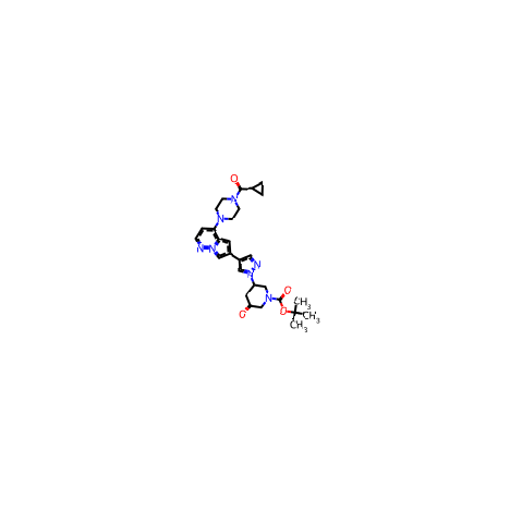 CC(C)(C)OC(=O)N1CC(=O)CC(n2cc(-c3cc4c(N5CCN(C(=O)C6CC6)CC5)ccnn4c3)cn2)C1